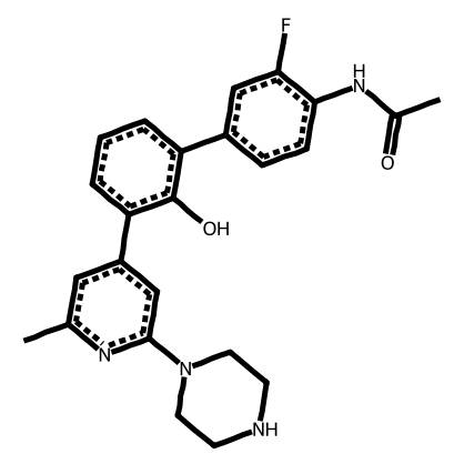 CC(=O)Nc1ccc(-c2cccc(-c3cc(C)nc(N4CCNCC4)c3)c2O)cc1F